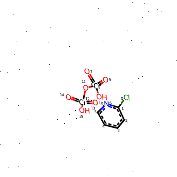 Clc1ccccn1.[O]=[Cr](=[O])([OH])[O][Cr](=[O])(=[O])[OH]